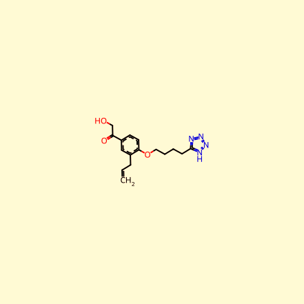 C=CCc1cc(C(=O)CO)ccc1OCCCCc1nnn[nH]1